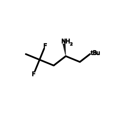 CC(C)(C)C[C@@H](N)CC(C)(F)F